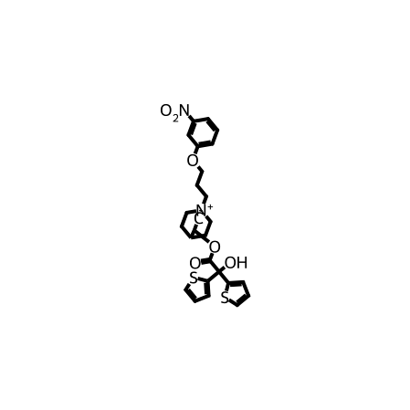 O=C(OC1C[N+]2(CCCOc3cccc([N+](=O)[O-])c3)CCC1CC2)C(O)(c1cccs1)c1cccs1